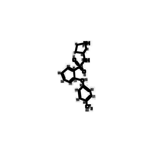 O=S(=O)(NC1CCNC1)c1ccccc1Oc1ccc(C(F)(F)F)cc1